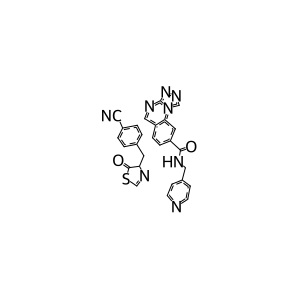 N#Cc1ccc(CC2N=CSC2=O)cc1.O=C(NCc1ccncc1)c1ccc2cnc3nncn3c2c1